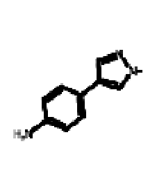 Nc1ccc(-c2cn[nH]c2)cc1